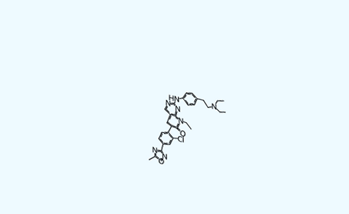 CCN(CC)CCc1ccc(Nc2ncc3cc(-c4ccc(-c5noc(C)n5)cc4Cl)c(=O)n(CC)c3n2)cc1